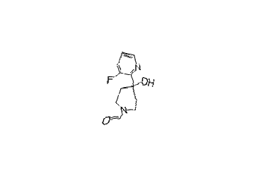 O=CN1CCC(O)(c2ncccc2F)CC1